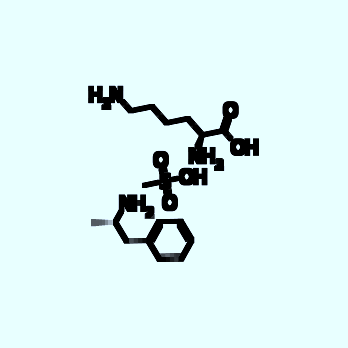 CS(=O)(=O)O.C[C@H](N)Cc1ccccc1.NCCCC[C@H](N)C(=O)O